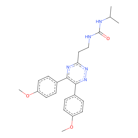 COc1ccc(-c2nnc(CCNC(=O)NC(C)C)nc2-c2ccc(OC)cc2)cc1